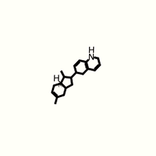 CC1=CC[C@@H]2C(C1)CC(C1C=CC3=C(C=CCN3)C1)C2C